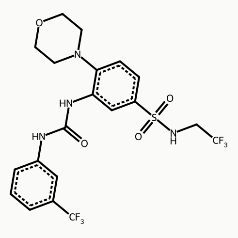 O=C(Nc1cccc(C(F)(F)F)c1)Nc1cc(S(=O)(=O)NCC(F)(F)F)ccc1N1CCOCC1